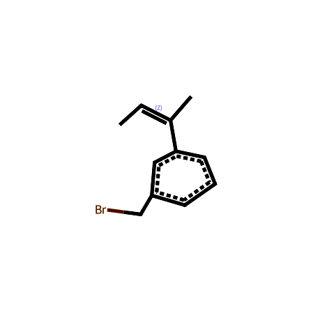 C/C=C(/C)c1cccc(CBr)c1